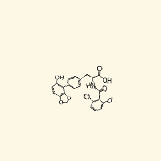 O=C(N[C@@H](Cc1ccc(-c2c(O)ccc3c2OCO3)cc1)C(=O)O)c1c(Cl)cccc1Cl